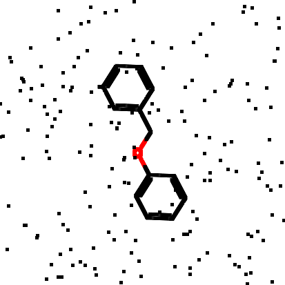 [c]1cccc(COc2ccccc2)c1